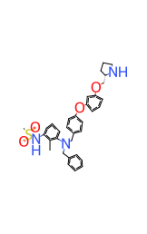 Cc1c(NS(C)(=O)=O)cccc1N(Cc1ccccc1)Cc1ccc(Oc2cccc(OC[C@@H]3CCCN3)c2)cc1